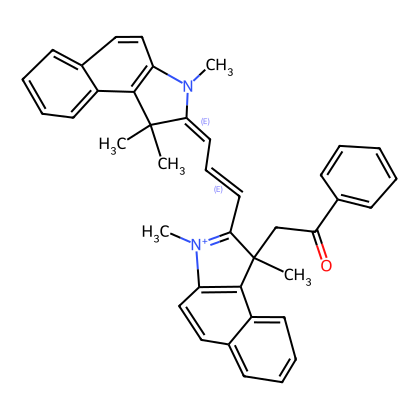 CN1/C(=C/C=C/C2=[N+](C)c3ccc4ccccc4c3C2(C)CC(=O)c2ccccc2)C(C)(C)c2c1ccc1ccccc21